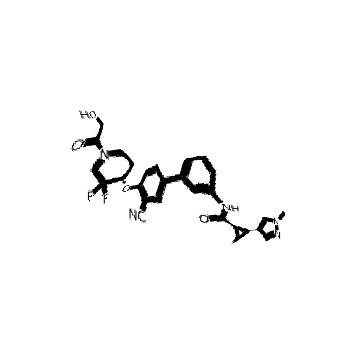 Cn1cc([C@@H]2C[C@H]2C(=O)Nc2cccc(-c3ccc(O[C@H]4CCN(C(=O)CO)CC4(F)F)c(C#N)c3)c2)cn1